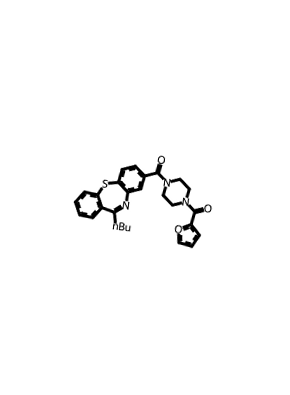 CCCCC1=Nc2cc(C(=O)N3CCN(C(=O)c4ccco4)CC3)ccc2Sc2ccccc21